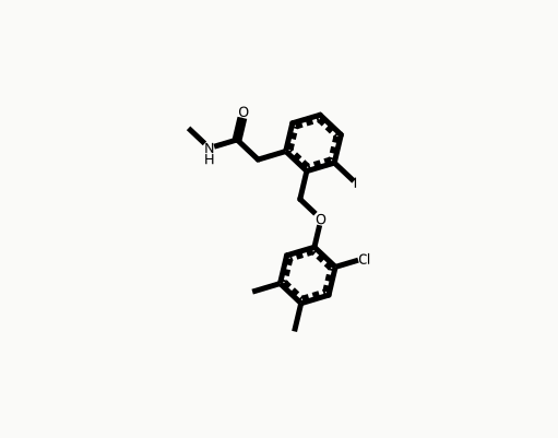 CNC(=O)Cc1cccc(I)c1COc1cc(C)c(C)cc1Cl